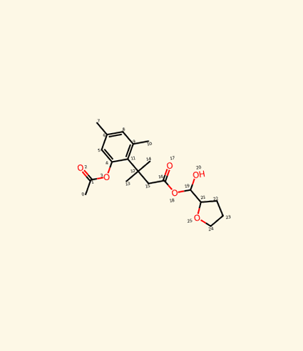 CC(=O)Oc1cc(C)cc(C)c1C(C)(C)CC(=O)OC(O)C1CCCO1